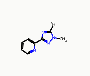 [2H]c1nc(-c2ccccn2)nn1C